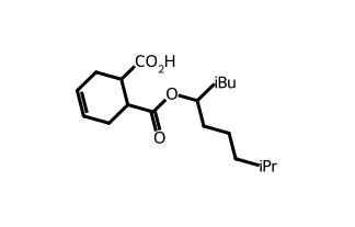 CCC(C)C(CCCC(C)C)OC(=O)C1CC=CCC1C(=O)O